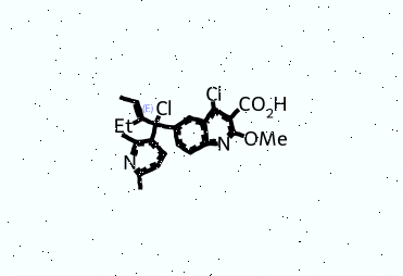 C/C=C(\CC)C(Cl)(c1ccc2nc(OC)c(C(=O)O)c(Cl)c2c1)c1ccc(C)nc1C